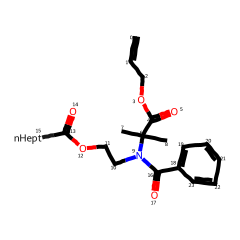 C=CCOC(=O)C(C)(C)N(CCOC(=O)CCCCCCC)C(=O)c1ccccc1